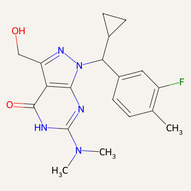 Cc1ccc(C(C2CC2)n2nc(CO)c3c(=O)[nH]c(N(C)C)nc32)cc1F